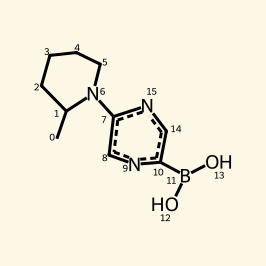 CC1CCCCN1c1cnc(B(O)O)cn1